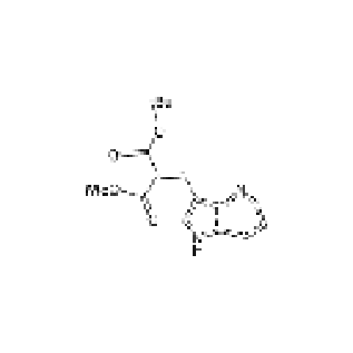 COC(=O)/C(=C\c1c[nH]c2cccnc12)C(=O)OC(C)(C)C